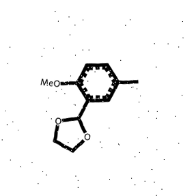 COc1ccc(C)cc1C1OCCO1